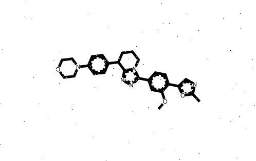 COc1cc(-c2nnc3n2CCCC3c2ccc(N3CCOCC3)cc2)ccc1-c1cnc(C)o1